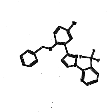 FC(F)(F)c1cccnc1-n1ccc(-c2cc(Br)ccc2OCc2ccccc2)n1